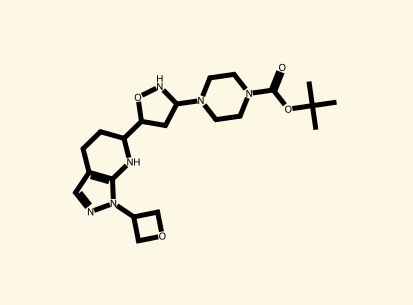 CC(C)(C)OC(=O)N1CCN(C2CC(C3CCc4cnn(C5COC5)c4N3)ON2)CC1